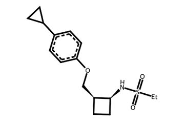 CCS(=O)(=O)N[C@H]1CC[C@H]1COc1ccc(C2CC2)cc1